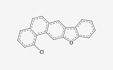 Clc1cccc2ccc3cc4c(cc3c12)oc1ccccc14